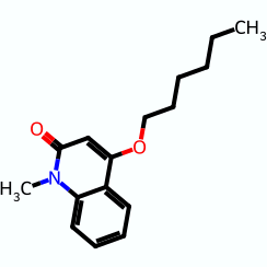 CCCCCCOc1cc(=O)n(C)c2ccccc12